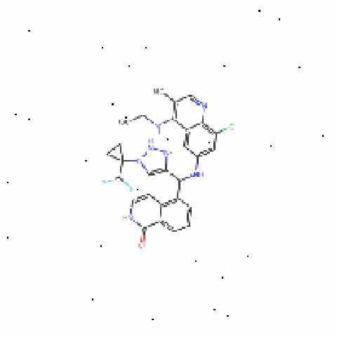 CC(C)(C)CNc1c(C#N)cnc2c(Cl)cc(N[C@H](C3=CN(C4(C(F)F)CC4)NN3)c3cccc4c(=O)[nH]ccc34)cc12